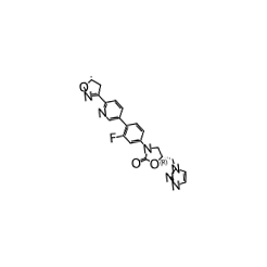 O=C1O[C@@H](Cn2ccnn2)CN1c1ccc(-c2ccc(C3=NO[CH]C3)nc2)c(F)c1